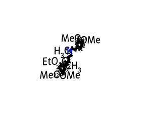 CCOC(=O)C(C)(CCCN(C)CCc1ccc(OC)c(OC)c1)c1ccc(OC)c(OC)c1